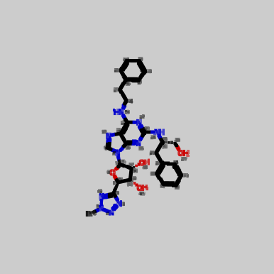 CCn1nnc([C@H]2O[C@@H](n3cnc4c(NCCc5ccccc5)nc(N[C@H](CO)Cc5ccccc5)nc43)[C@H](O)[C@@H]2O)n1